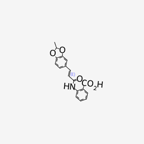 CC1Oc2ccc(/C=C/C(=O)Nc3ccccc3C(=O)O)cc2O1